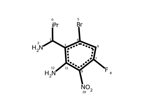 CC(C)C(N)c1c(Br)cc(F)c([N+](=O)[O-])c1N